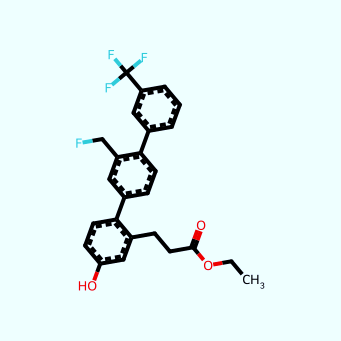 CCOC(=O)CCc1cc(O)ccc1-c1ccc(-c2cccc(C(F)(F)F)c2)c(CF)c1